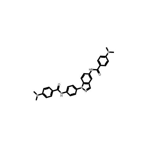 CN(C)c1ccc(C(=O)Nc2ccc(-n3ncc4cc(NC(=O)c5ccc(N(C)C)cc5)ccc43)cc2)cc1